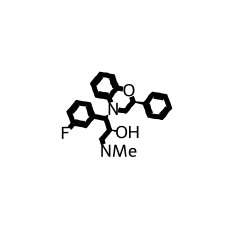 CNC[C@@H](O)[C@H](c1cccc(F)c1)N1C[C@H](c2ccccc2)Oc2ccccc21